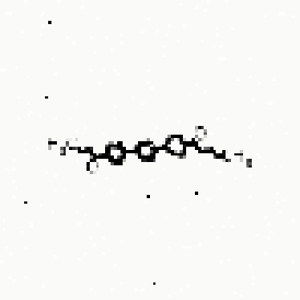 CCCCC(=O)C1CCC(c2ccc(-c3ccc(C(=O)CCC)cc3)cc2)CC1